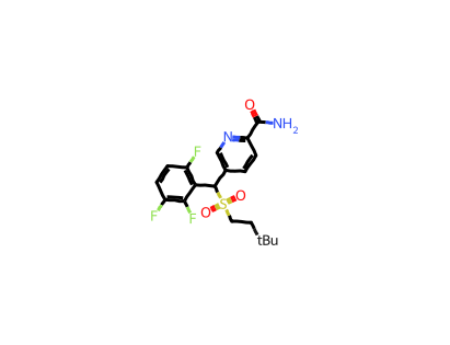 CC(C)(C)CCS(=O)(=O)C(c1ccc(C(N)=O)nc1)c1c(F)ccc(F)c1F